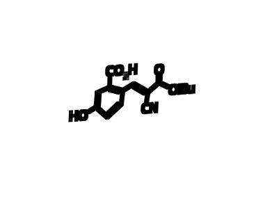 CC(C)COC(=O)/C(C#N)=C/c1ccc(O)cc1C(=O)O